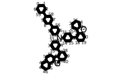 c1ccc(-c2ccc(-c3ccc(N(c4ccc(-c5cccc6oc7ccccc7c56)cc4)c4cccc(-c5cccc6oc7c8ccccc8ccc7c56)c4)cc3)cc2)cc1